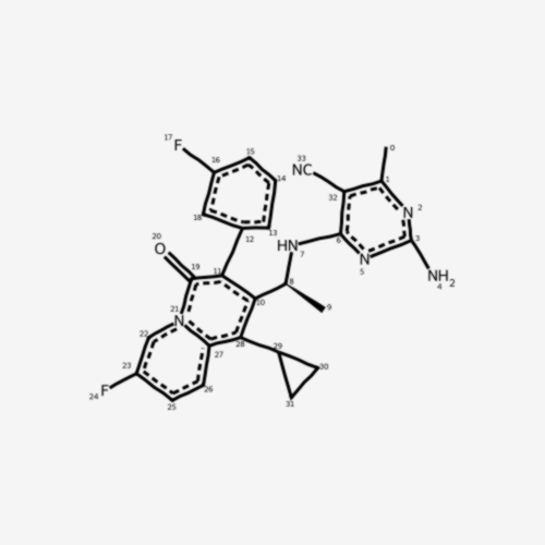 Cc1nc(N)nc(N[C@@H](C)c2c(-c3cccc(F)c3)c(=O)n3cc(F)ccc3c2C2CC2)c1C#N